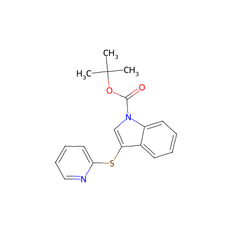 CC(C)(C)OC(=O)n1cc(Sc2ccccn2)c2ccccc21